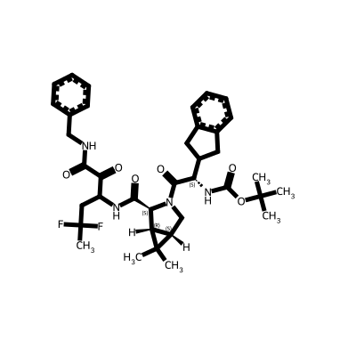 CC(F)(F)CC(NC(=O)[C@@H]1[C@@H]2[C@H](CN1C(=O)[C@@H](NC(=O)OC(C)(C)C)C1Cc3ccccc3C1)C2(C)C)C(=O)C(=O)NCc1ccccc1